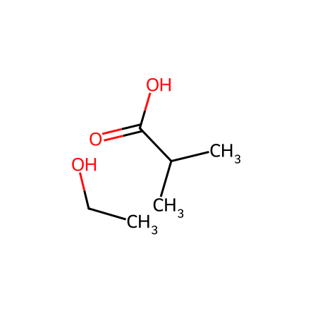 CC(C)C(=O)O.CCO